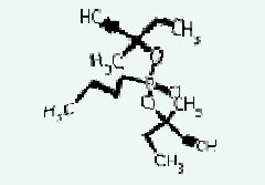 C#CC(C)(CC)OP(=O)(CC=CC)OC(C)(C#C)CC